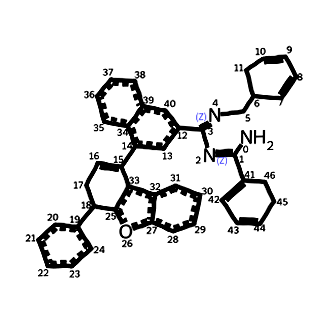 N/C(=N\C(=N/CC1C=CC=CC1)c1cc(C2=CCC(c3ccccc3)c3oc4ccccc4c32)c2ccccc2c1)C1=CC=CCC1